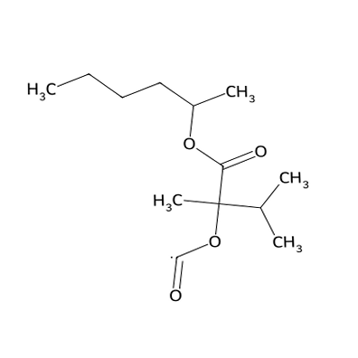 CCCCC(C)OC(=O)C(C)(O[C]=O)C(C)C